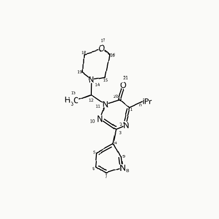 CC(C)c1nc(-c2cccnc2)nn(C(C)N2CCOCC2)c1=O